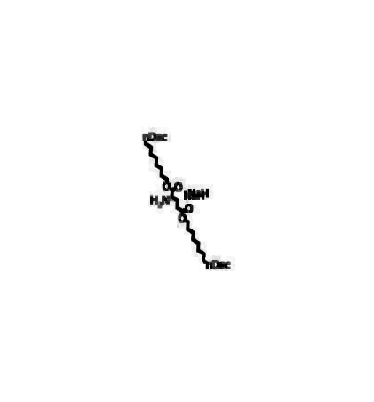 CCCCCCCCCCCCCCCCCCOC(=O)CC[C@H](N)C(=O)OCCCCCCCCCCCCCCCCCC.[NaH].[NaH]